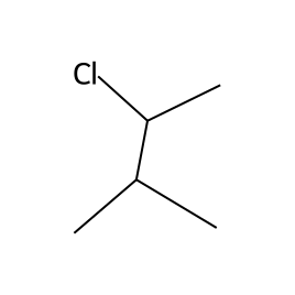 CC(C)C(C)Cl